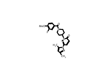 COc1ccc(C(=O)N2CCC(n3nc(-n4nc(C)cc4C)ccc3=O)CC2)cc1F